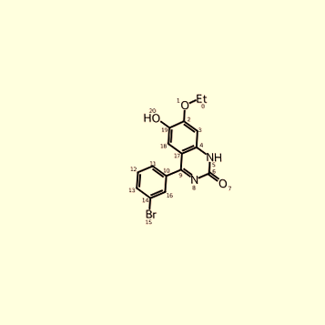 CCOc1cc2[nH]c(=O)nc(-c3cccc(Br)c3)c2cc1O